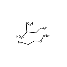 CCCCCCCCCOC[CH2][Na].O=C(O)CC(C(=O)O)S(=O)(=O)O